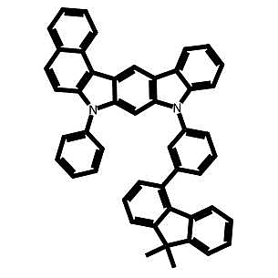 CC1(C)c2ccccc2-c2c(-c3cccc(-n4c5ccccc5c5cc6c7c8ccccc8ccc7n(-c7ccccc7)c6cc54)c3)cccc21